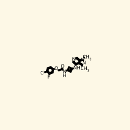 Cc1nn(C)c2cncc(NC34CC(NC(=O)COc5ccc(Cl)c(F)c5)(C3)C4)c12